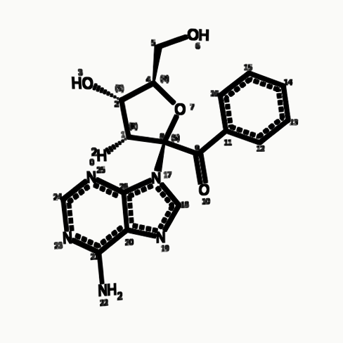 [2H][C@@H]1[C@H](O)[C@@H](CO)O[C@@]1(C(=O)c1ccccc1)n1cnc2c(N)ncnc21